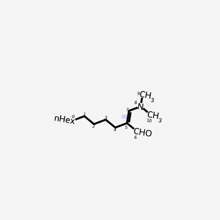 CCCCCCCCCC/C(C=O)=C/N(C)C